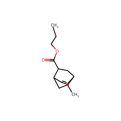 CCCOC(=O)C1CC2CCC1C=C2C